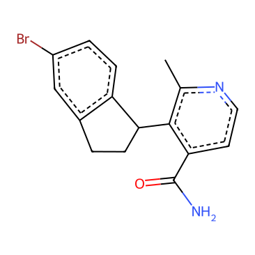 Cc1nccc(C(N)=O)c1C1CCc2cc(Br)ccc21